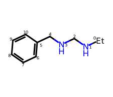 CCNCNCc1ccccc1